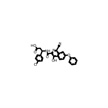 N#Cc1nc(C(=O)NC(CC(=O)O)c2ccc(Cl)cc2)c(O)c2ccc(Oc3ccccc3)cc12